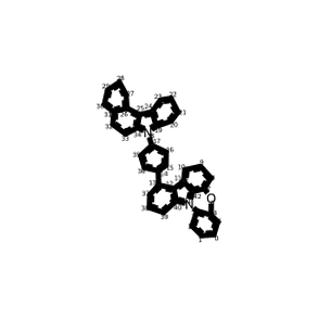 c1ccc2c(c1)Oc1cccc3c4c(-c5ccc(-n6c7ccccc7c7c8ccccc8ccc76)cc5)cccc4n-2c13